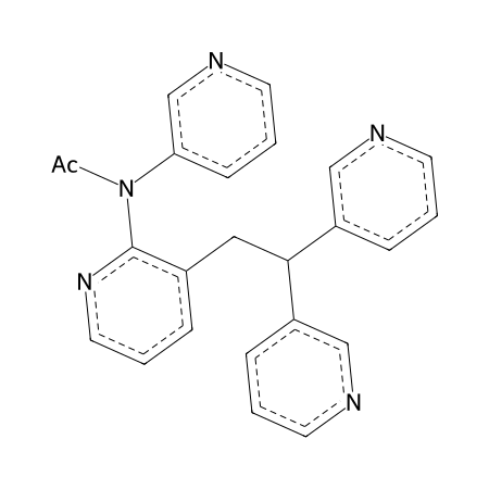 CC(=O)N(c1cccnc1)c1ncccc1CC(c1cccnc1)c1cccnc1